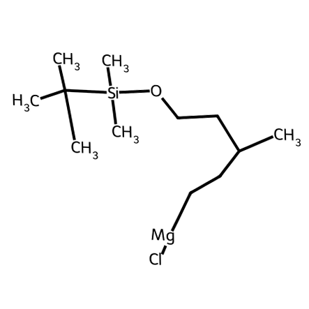 CC(CCO[Si](C)(C)C(C)(C)C)C[CH2][Mg][Cl]